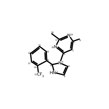 Cc1cc(N2C=CNC2c2ccccc2C(F)(F)F)nc(C)n1